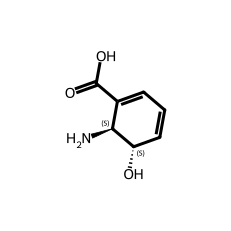 N[C@H]1C(C(=O)O)=CC=C[C@@H]1O